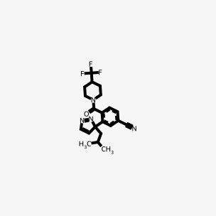 CC(C)CC1(c2cc(C#N)ccc2C(=O)N2CCC(C(F)(F)F)CC2)C=CN=N1